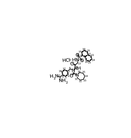 Cl.NC(N)c1ccc(CN(NC(=O)CNS(=O)(=O)c2cccc3ccccc23)C(=O)N2CCCCCC2)cc1